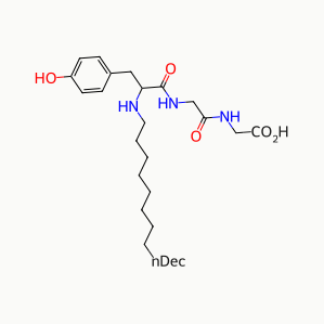 CCCCCCCCCCCCCCCCCCNC(Cc1ccc(O)cc1)C(=O)NCC(=O)NCC(=O)O